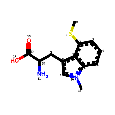 CSc1cccc2c1c(CC(N)C(=O)O)cn2C